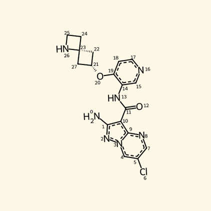 Nc1nn2cc(Cl)cnc2c1C(=O)Nc1cnccc1O[C@H]1C[C@]2(CCN2)C1